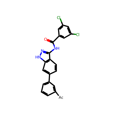 CC(=O)c1cccc(-c2ccc3c(NC(=O)c4cc(Cl)cc(Cl)c4)n[nH]c3c2)c1